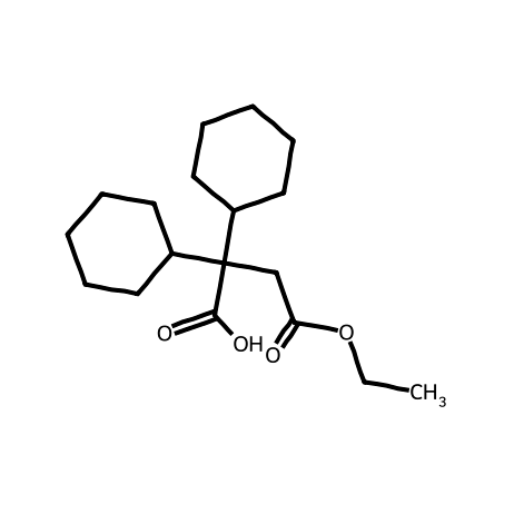 CCOC(=O)CC(C(=O)O)(C1CCCCC1)C1CCCCC1